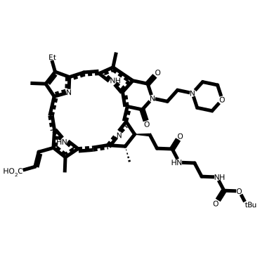 CCC1=C(C)c2cc3[nH]c(cc4nc(c5c6[nH]c(cc1n2)c(C)c6C(=O)N(CCN1CCOCC1)C5=O)[C@@H](CCC(=O)NCCNC(=O)OC(C)(C)C)[C@@H]4C)c(C)c3/C=C/C(=O)O